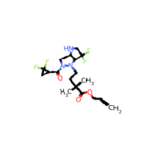 C=CCOC(=O)C(C)(C)CCN1C2C(CN1C(=O)C1CC1(F)F)NCC2(F)F